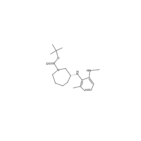 CNc1cccc(C)c1N[C@@H]1CCCCN(C(=O)OC(C)(C)C)C1